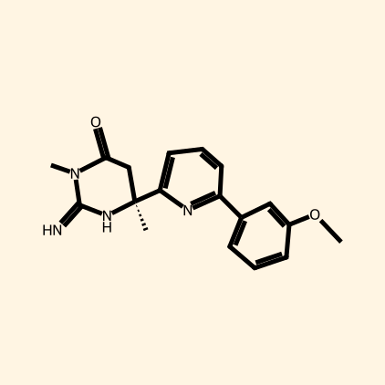 COc1cccc(-c2cccc([C@]3(C)CC(=O)N(C)C(=N)N3)n2)c1